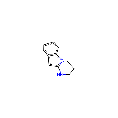 c1ccc2c(c1)cc1n2CCCN1